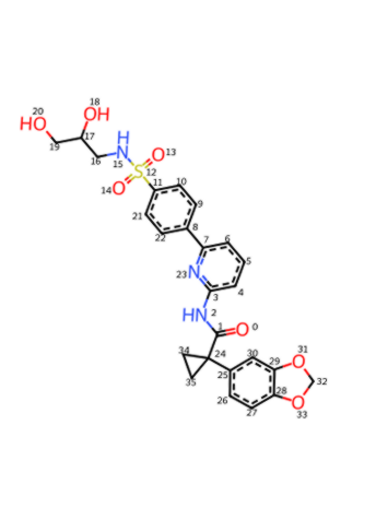 O=C(Nc1cccc(-c2ccc(S(=O)(=O)NCC(O)CO)cc2)n1)C1(c2ccc3c(c2)OCO3)CC1